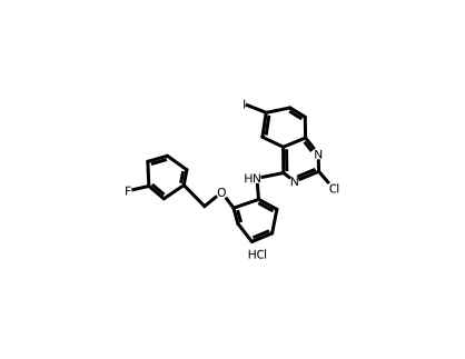 Cl.Fc1cccc(COc2ccccc2Nc2nc(Cl)nc3ccc(I)cc23)c1